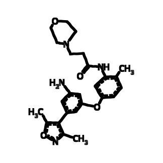 Cc1ccc(Oc2cc(N)cc(-c3c(C)noc3C)c2)cc1NC(=O)CCN1CCOCC1